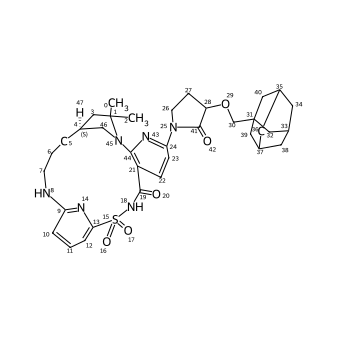 CC1(C)C[C@@H]2CCCNc3cccc(n3)S(=O)(=O)NC(=O)c3ccc(N4CCC(OCC56CC7CC(CC(C7)C5)C6)C4=O)nc3N1C2